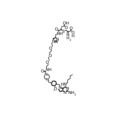 CCCCCNc1nc(N)nc2ccn(Cc3ccc(CN4CCN(C(=O)NCCOCCOCCOCCn5cc(CNC(=O)[C@@H](CC(=O)O)SC[C@H](N)C(=O)O)nn5)CC4)cc3OC)c12